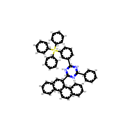 c1ccc(-c2nc(-c3cccc(S(c4ccccc4)(c4ccccc4)c4ccccc4)c3)nc(-c3cc4ccccc4c4ccc5ccccc5c34)n2)cc1